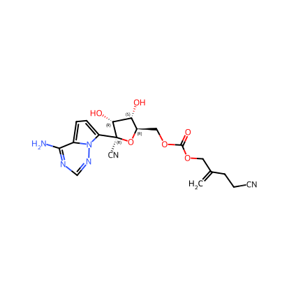 C=C(CCC#N)COC(=O)OC[C@H]1O[C@@](C#N)(c2ccc3c(N)ncnn23)[C@H](O)[C@@H]1O